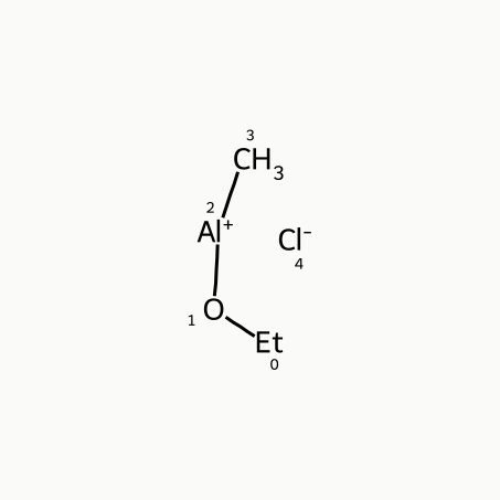 CC[O][Al+][CH3].[Cl-]